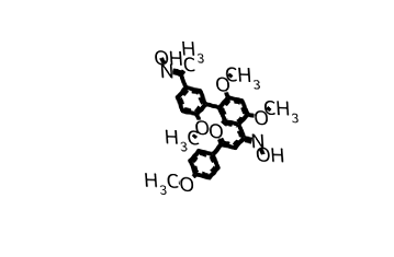 COc1ccc(-c2cc(=NO)c3c(OC)cc(OC)c(-c4cc(C(C)=NO)ccc4OC)c3o2)cc1